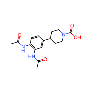 CC(=O)Nc1ccc(C2CCN(C(=O)O)CC2)cc1NC(C)=O